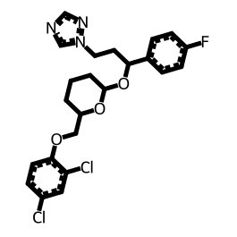 Fc1ccc(C(CCn2cncn2)OC2CCCC(COc3ccc(Cl)cc3Cl)O2)cc1